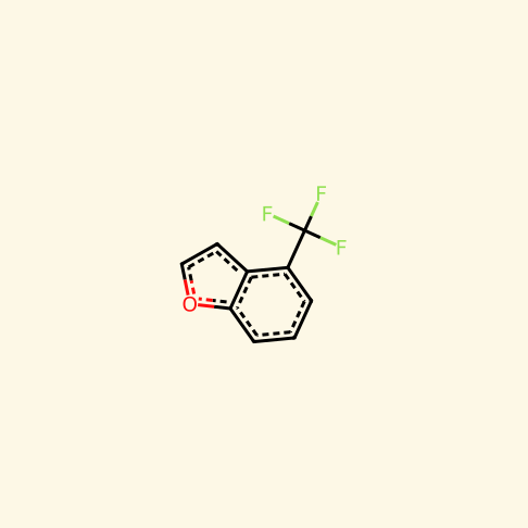 FC(F)(F)c1cccc2occc12